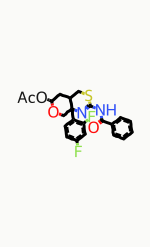 CC(=O)OC1CC2CSC(NC(=O)c3ccccc3)=NC2(c2ccc(F)cc2F)CO1